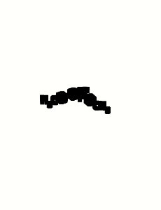 Cc1ccc(-c2ccc(OC(F)(F)c3ccc(C)cc3)cc2)cc1